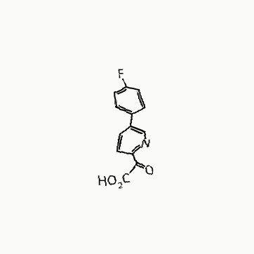 O=C(O)C(=O)c1ccc(-c2ccc(F)cc2)cn1